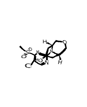 CS(=O)(=O)c1nc(N2[C@@H]3COC[C@H]2CC(O)C3)ncc1Cl